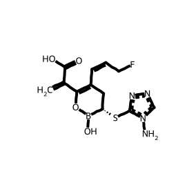 C=C(C(=O)O)C1=C(/C=C\CF)C[C@H](Sc2nncn2N)B(O)O1